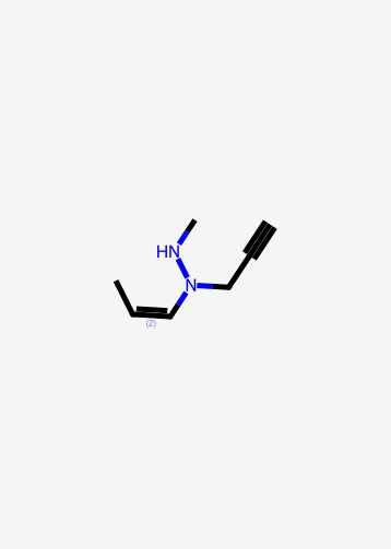 C#CCN(/C=C\C)NC